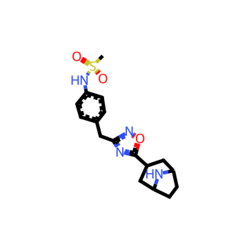 CS(=O)(=O)Nc1ccc(Cc2noc(C3CC4CCC(C3)N4)n2)cc1